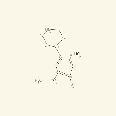 COc1cc(N2CCNCC2)ccc1Br.Cl